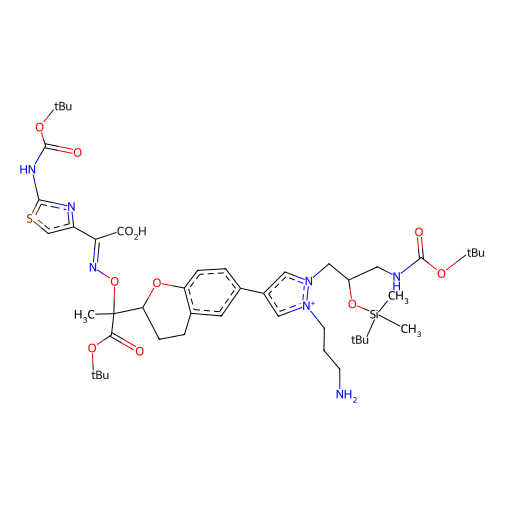 CC(C)(C)OC(=O)NCC(Cn1cc(-c2ccc3c(c2)CCC(C(C)(O/N=C(\C(=O)O)c2csc(NC(=O)OC(C)(C)C)n2)C(=O)OC(C)(C)C)O3)c[n+]1CCCN)O[Si](C)(C)C(C)(C)C